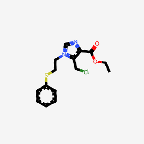 CCOC(=O)c1ncn(CCSc2ccccc2)c1CCl